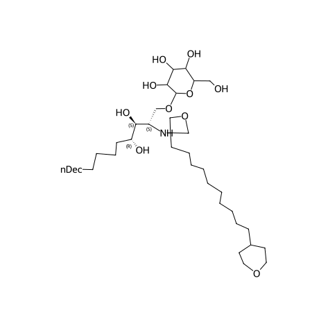 CCCCCCCCCCCCCC[C@@H](O)[C@@H](O)[C@H](COC1OC(CO)C(O)C(O)C1O)NC1(CCCCCCCCCCC2CCOCC2)COC1